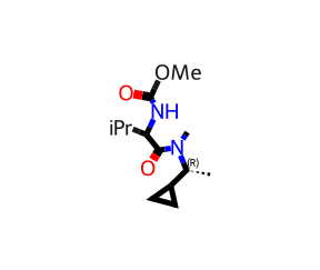 COC(=O)NC(C(=O)N(C)[C@H](C)C1CC1)C(C)C